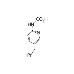 CC(C)Cc1ccc(NC(=O)O)nc1